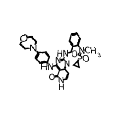 CN(c1ccccc1CNc1nc(Nc2ccc(N3CCOCC3)cc2)c2c(=O)[nH]ccc2n1)S(=O)(=O)C1CC1